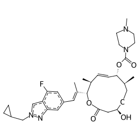 C/C(=C\c1cc(F)c2cn(CC3CC3)nc2c1)[C@H]1OC(=O)C[C@H](O)CC[C@H](C)[C@@H](OC(=O)N2CCN(C)CC2)/C=C/[C@@H]1C